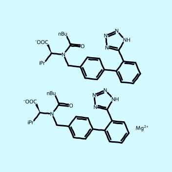 CCCCC(=O)N(Cc1ccc(-c2ccccc2-c2nnn[nH]2)cc1)[C@H](C(=O)[O-])C(C)C.CCCCC(=O)N(Cc1ccc(-c2ccccc2-c2nnn[nH]2)cc1)[C@H](C(=O)[O-])C(C)C.[Mg+2]